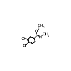 CCOC(=NC)c1ccc(Cl)c(Cl)c1